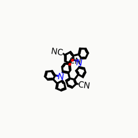 N#Cc1ccc(-n2c3ccccc3c3ccccc32)c(-c2cccc(C#N)c2-c2cccc(-n3c4ccccc4c4cc(C#N)ccc43)c2)c1